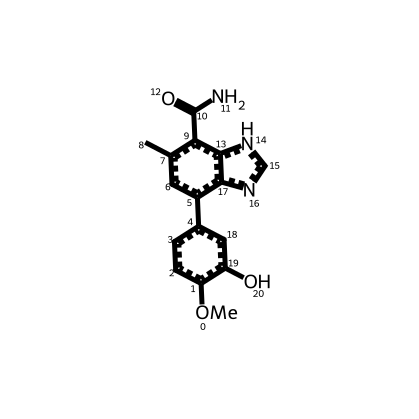 COc1ccc(-c2cc(C)c(C(N)=O)c3[nH]cnc23)cc1O